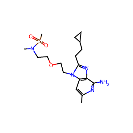 Cc1cc2c(nc(CCC3CC3)n2CCOCCN(C)S(C)(=O)=O)c(N)n1